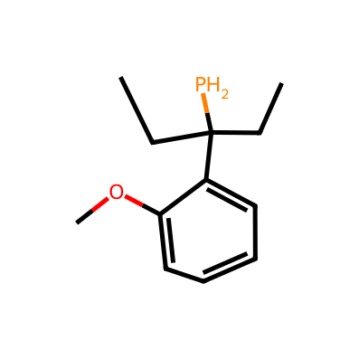 CCC(P)(CC)c1ccccc1OC